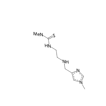 CNC(=S)NCCNCc1cn(C)cn1